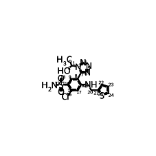 CC(O)n1nnnc1-c1cc(S(N)(=O)=O)c(Cl)cc1NCc1cccs1